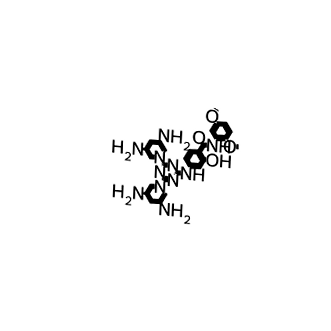 COc1ccc(OC)c(NC(=O)c2ccc(Nc3nc(N4C[C@H](N)C[C@H](N)C4)nc(N4C[C@H](N)C[C@H](N)C4)n3)cc2O)c1